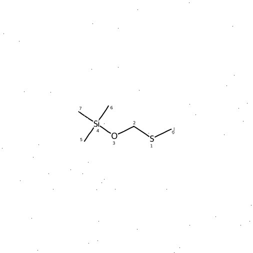 [CH]SCO[Si](C)(C)C